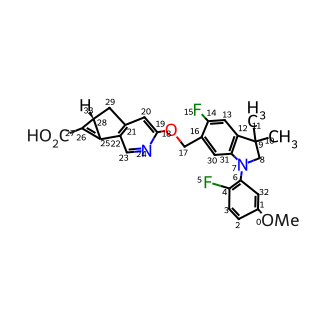 COc1ccc(F)c(N2CC(C)(C)c3cc(F)c(COc4cc5c(cn4)C4=C(C(=O)O)[C@@H]4C5)cc32)c1